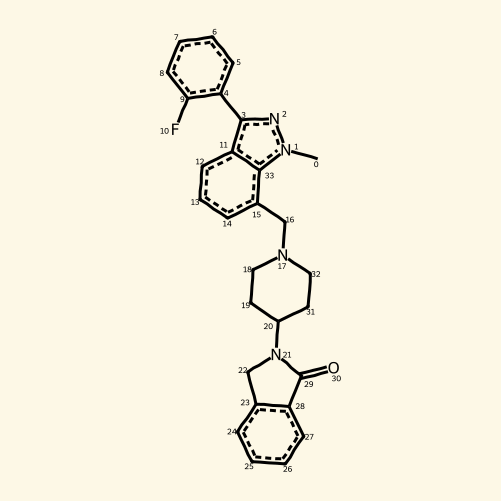 Cn1nc(-c2ccccc2F)c2cccc(CN3CCC(N4Cc5ccccc5C4=O)CC3)c21